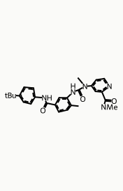 CNC(=O)c1cc(N(C)C(=O)Nc2cc(C(=O)Nc3ccc(C(C)(C)C)cc3)ccc2C)ccn1